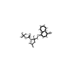 CC(C)C[C@@](C)(COc1ccc(Br)c2ccccc12)NC(=O)OC(C)(C)C